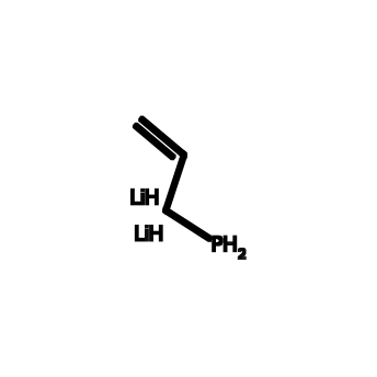 C=CCP.[LiH].[LiH]